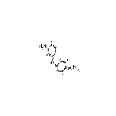 Cc1ccc(Oc2cccc(N)n2)cc1